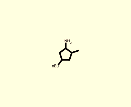 CCCCC1CC(C)C(N)C1